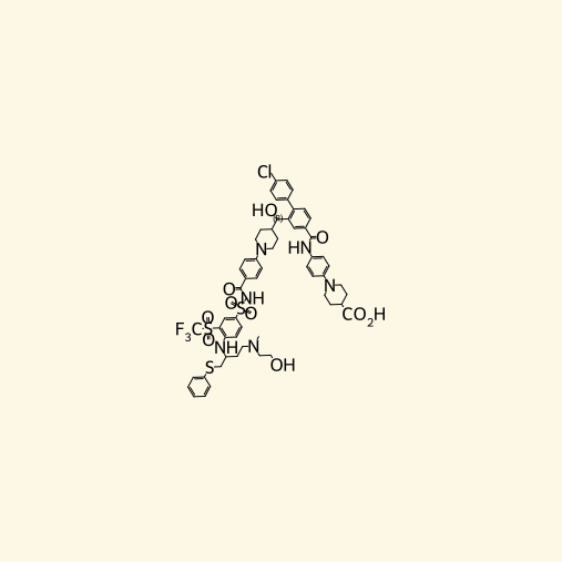 CN(CCO)CCC(CSc1ccccc1)Nc1ccc(S(=O)(=O)NC(=O)c2ccc(N3CCC([C@@H](O)c4cc(C(=O)Nc5ccc(N6CCC(C(=O)O)CC6)cc5)ccc4-c4ccc(Cl)cc4)CC3)cc2)cc1S(=O)(=O)C(F)(F)F